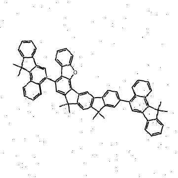 CC1(C)c2cc(-c3cc4c(c5ccccc35)C(C)(C)c3ccccc3-4)ccc2-c2cc3c(cc21)C(C)(C)c1cc(-c2cc4c(c5ccccc25)C(C)(C)c2ccccc2-4)c2c(oc4ccccc42)c1-3